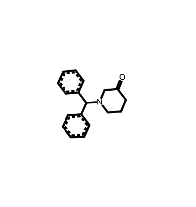 O=C1CCCN(C(c2ccccc2)c2ccccc2)C1